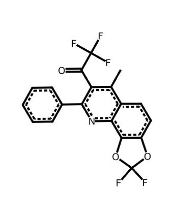 Cc1c(C(=O)C(F)(F)F)c(-c2ccccc2)nc2c3c(ccc12)OC(F)(F)O3